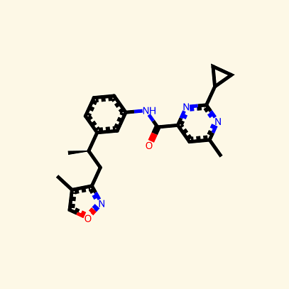 Cc1cc(C(=O)Nc2cccc([C@H](C)Cc3nocc3C)c2)nc(C2CC2)n1